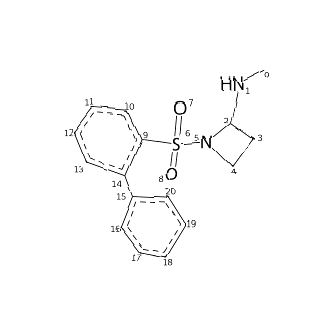 CNC1CCN1S(=O)(=O)c1ccccc1-c1ccccc1